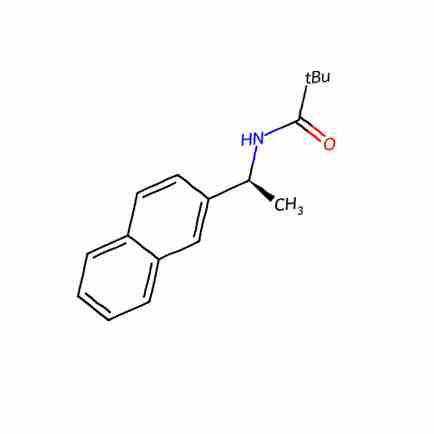 C[C@H](NC(=O)C(C)(C)C)c1ccc2ccccc2c1